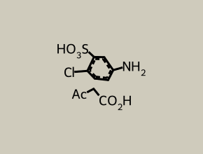 CC(=O)CC(=O)O.Nc1ccc(Cl)c(S(=O)(=O)O)c1